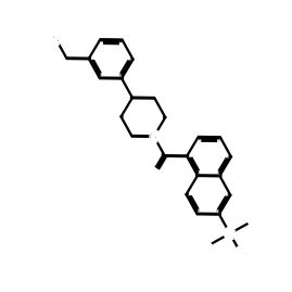 C[Si](C)(O)c1ccc2c(C(=O)N3CCC(c4cccc(CN)c4)CC3)cccc2c1